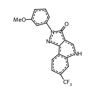 COc1cccc(-n2nc3c4ccc(C(F)(F)F)cc4[nH]cc-3c2=O)c1